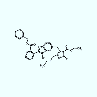 CCCCc1nc(Cl)c(C(=O)OCC)n1Cc1ccc2oc(-c3ccccc3C(=O)OCc3ccccc3)c(Br)c2c1